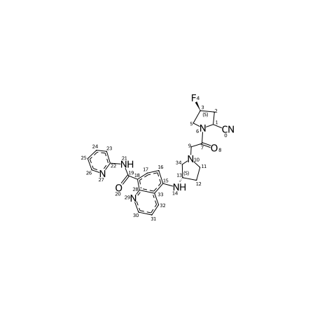 N#CC1C[C@H](F)CN1C(=O)CN1CC[C@H](Nc2ccc(C(=O)Nc3ccccn3)c3ncccc23)C1